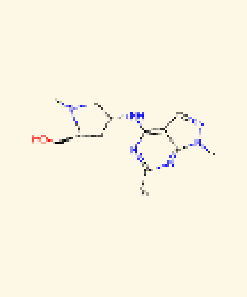 CC(C)c1nc(N[C@@H]2C[C@@H](CO)N(C)C2)c2cnn(C)c2n1